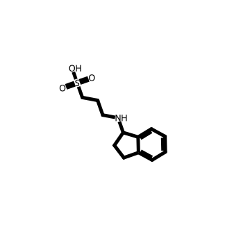 O=S(=O)(O)CCCNC1CCc2ccccc21